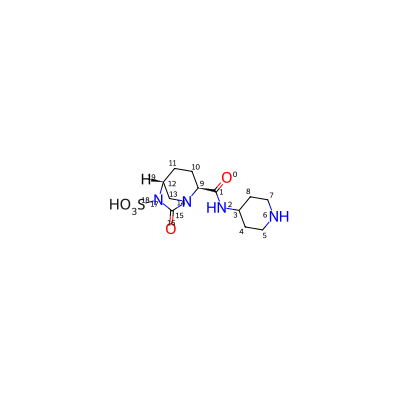 O=C(NC1CCNCC1)[C@@H]1CC[C@@H]2CN1C(=O)N2S(=O)(=O)O